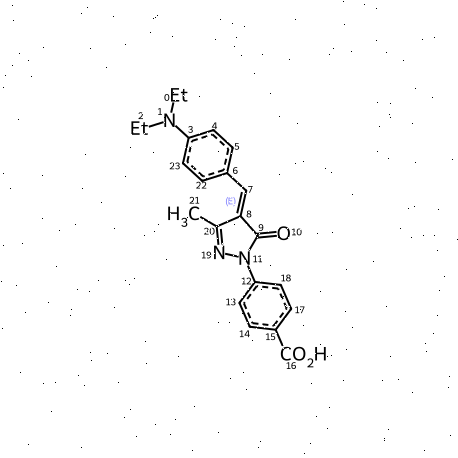 CCN(CC)c1ccc(/C=C2/C(=O)N(c3ccc(C(=O)O)cc3)N=C2C)cc1